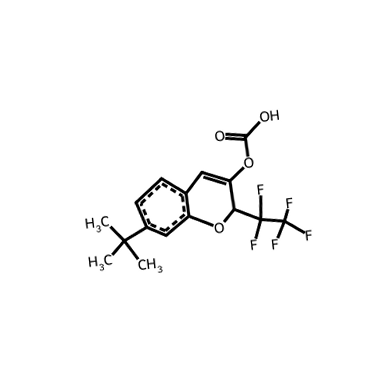 CC(C)(C)c1ccc2c(c1)OC(C(F)(F)C(F)(F)F)C(OC(=O)O)=C2